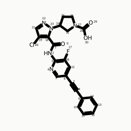 O=C(Nc1ncc(C#Cc2ccccc2)cc1F)c1c(Cl)cnn1C1CCN(C(=O)O)C1